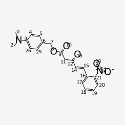 CN(C)c1ccc(COC(=O)CC(=O)C=Cc2ccccc2[N+](=O)[O-])cc1